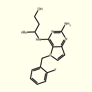 CCCCC(CCO)Nc1nc(N)nc2ccn(Cc3ccccc3F)c12